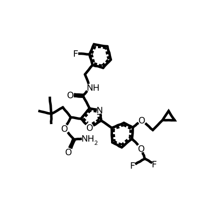 CC(C)(C)CC(OC(N)=O)c1oc(-c2ccc(OC(F)F)c(OCC3CC3)c2)nc1C(=O)NCc1ccccc1F